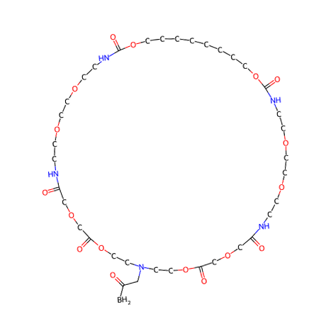 BC(=O)CN1CCOC(=O)COCC(=O)NCCOCCOCCNC(=O)OCCCCCCCCOC(=O)NCCOCCOCCNC(=O)COCC(=O)OCC1